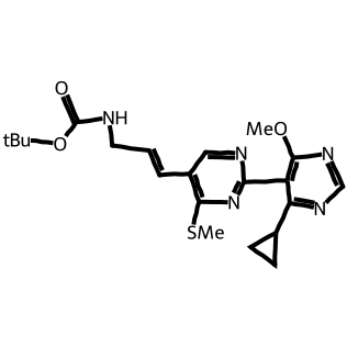 COc1ncnc(C2CC2)c1-c1ncc(C=CCNC(=O)OC(C)(C)C)c(SC)n1